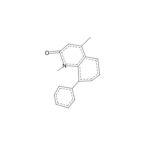 Cc1cc(=O)n(C)c2c(-c3ccccc3)cccc12